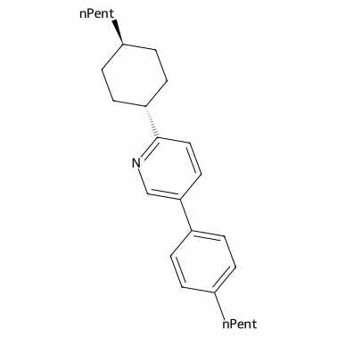 CCCCCc1ccc(-c2ccc([C@H]3CC[C@H](CCCCC)CC3)nc2)cc1